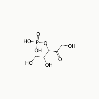 O=C(CO)C(OP(=O)(O)O)C(O)CO